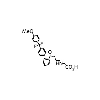 COc1ccc(C(F)(F)c2cccc(OC(CCCNCC(=O)O)c3ccccc3)c2)cc1